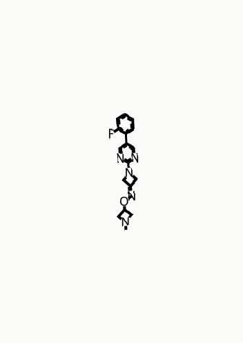 CN1CC(ON=C2CN(c3ncc(-c4ccccc4F)cn3)C2)C1